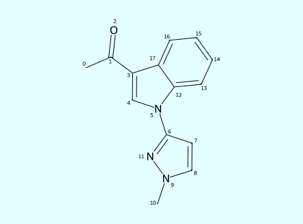 CC(=O)c1cn(-c2ccn(C)n2)c2ccccc12